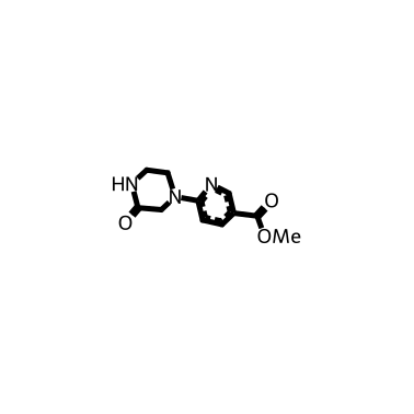 COC(=O)c1ccc(N2CCNC(=O)C2)nc1